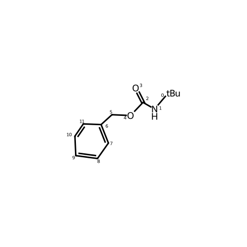 [CH2]C(C)(C)NC(=O)OCc1ccccc1